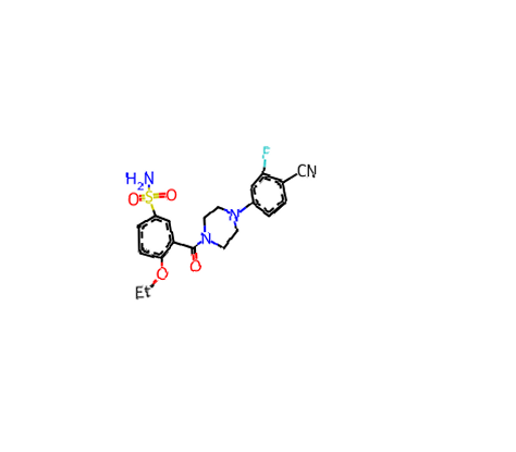 CCOc1ccc(S(N)(=O)=O)cc1C(=O)N1CCN(c2ccc(C#N)c(F)c2)CC1